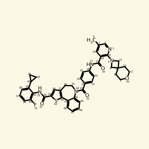 Cc1cnc(N2CC3(CCOCC3)C2)c(C(=O)Nc2ccc(C(=O)N3CCc4cc(C(=O)Nc5c(F)cccc5C5CC5)sc4-c4ccccc43)cc2)c1